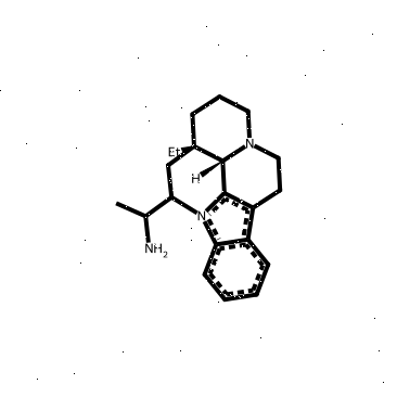 CC[C@]12CCCN3CCc4c(n(c5ccccc45)C(C(C)N)C1)[C@@H]32